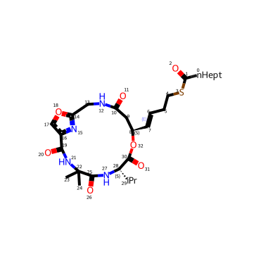 CCCCCCCC(=O)SCC/C=C/[C@@H]1CC(=O)NCc2nc(co2)C(=O)NC(C)(C)C(=O)N[C@@H](C(C)C)C(=O)O1